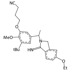 CCOc1ccc2c(c1)CN(C(C)c1cc(OCCCC#N)c(OC)c(C(C)(C)C)c1)C2=N